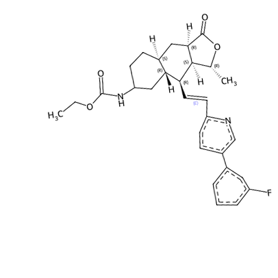 CCOC(=O)NC1CC[C@H]2C[C@H]3C(=O)O[C@H](C)[C@H]3[C@@H](/C=C/c3ccc(-c4cccc(F)c4)cn3)[C@@H]2C1